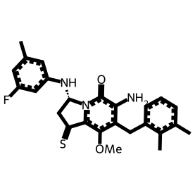 COc1c(Cc2cccc(C)c2C)c(N)c(=O)n2c1C(=S)C[C@@H]2Nc1cc(C)cc(F)c1